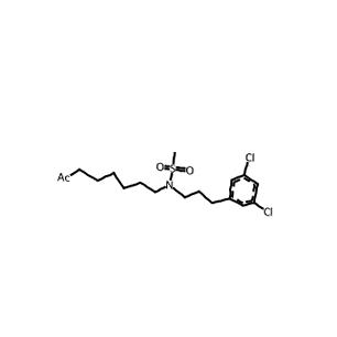 CC(=O)CCCCCCN(CCCc1cc(Cl)cc(Cl)c1)S(C)(=O)=O